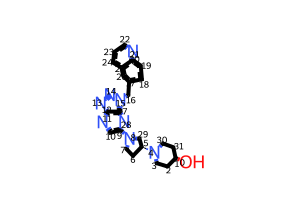 OC1CCN([C@@H]2CCN(c3cnc4nnn(Cc5ccc6ncccc6c5)c4n3)C2)CC1